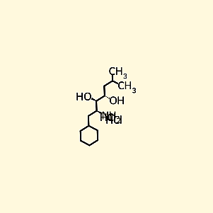 CC(C)C[C@H](O)[C@H](O)[C@@H](N)CC1CCCCC1.Cl.Cl